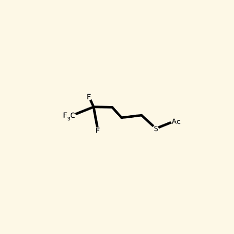 CC(=O)SCCCC(F)(F)C(F)(F)F